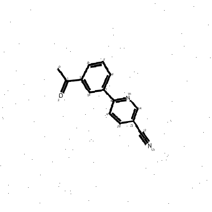 CC(=O)c1cccc(-c2ccc(C#N)cn2)c1